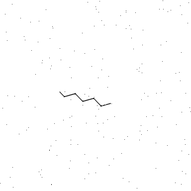 [O]CCCCCI